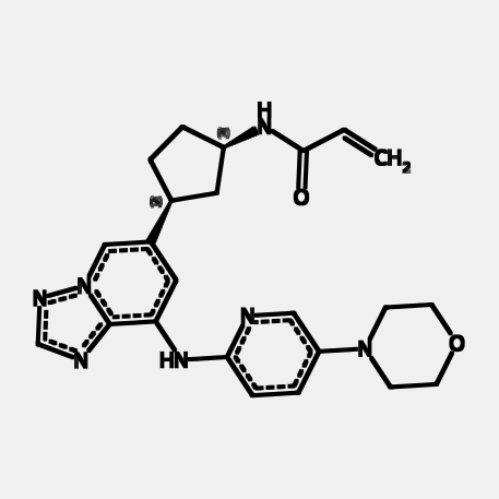 C=CC(=O)N[C@@H]1CC[C@H](c2cc(Nc3ccc(N4CCOCC4)cn3)c3ncnn3c2)C1